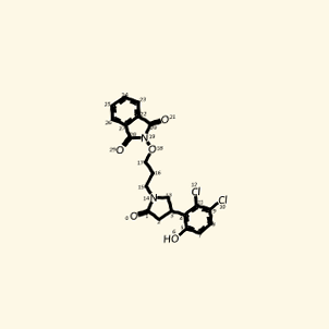 O=C1CC(c2c(O)ccc(Cl)c2Cl)CN1CCCON1C(=O)c2ccccc2C1=O